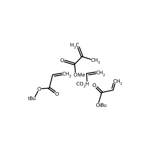 C=C(C)C(=O)OC.C=CC(=O)O.C=CC(=O)OC(C)(C)C.C=CC(=O)OCC(C)C